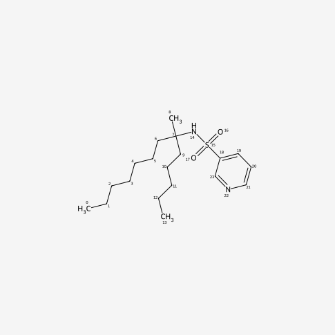 CCCCCCCC(C)(CCCCC)NS(=O)(=O)c1cccnc1